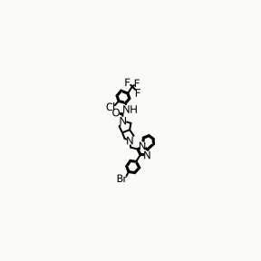 O=C(Nc1cc(C(F)(F)F)ccc1Cl)N1CC2CN(Cc3c(-c4ccc(Br)cc4)nc4ccccn34)CC2C1